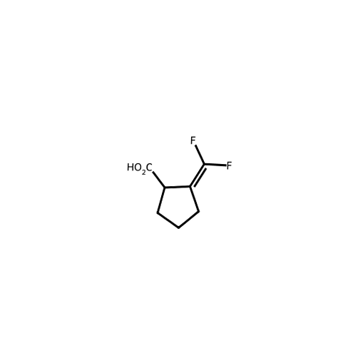 O=C(O)C1CCCC1=C(F)F